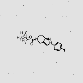 CC(C)(C)OC(=O)N1CCc2nn(-c3ccc(F)cc3)cc2C1